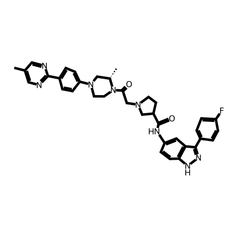 Cc1cnc(-c2ccc(N3CCN(C(=O)CN4CCC(C(=O)Nc5ccc6[nH]nc(-c7ccc(F)cc7)c6c5)C4)[C@@H](C)C3)cc2)nc1